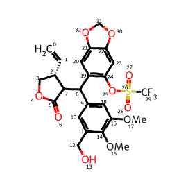 C=C[C@H]1COC(=O)C1C(c1cc(CO)c(OC)c(OC)c1)c1cc2c(cc1OS(=O)(=O)C(F)(F)F)OCO2